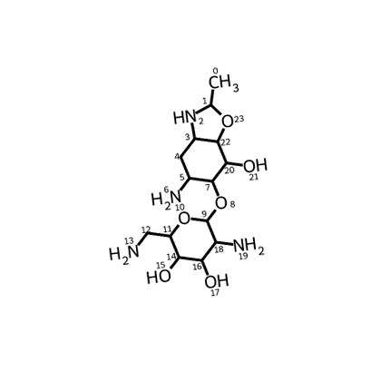 CC1NC2CC(N)C(OC3OC(CN)C(O)C(O)C3N)C(O)C2O1